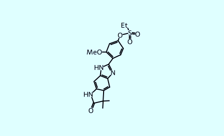 CCS(=O)(=O)Oc1ccc(-c2nc3cc4c(cc3[nH]2)NC(=O)C4(C)C)c(OC)c1